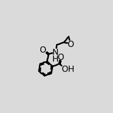 O=C(O)c1ccccc1C(=O)NCC1CO1